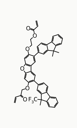 C=CC(=O)COc1cc2oc3cc(OCCOC(=O)C=C)c(-c4ccc5c(c4)C(C)(C)c4ccccc4-5)cc3c2cc1-c1ccc2c(c1)C(C)(C(F)(F)F)c1ccccc1-2